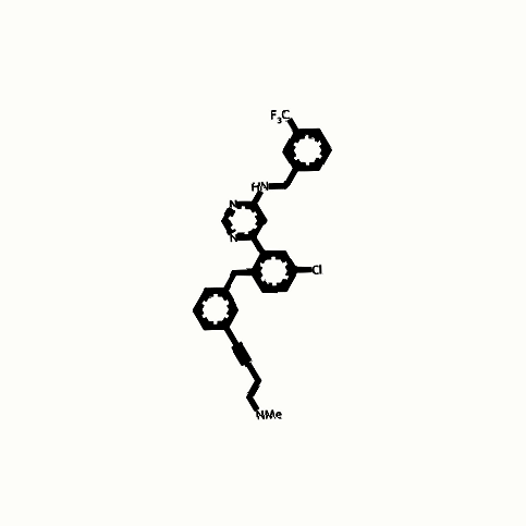 CNCCC#Cc1cccc(Cc2ccc(Cl)cc2-c2cc(NCc3cccc(C(F)(F)F)c3)ncn2)c1